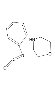 C1COCCN1.O=C=Nc1ccccc1